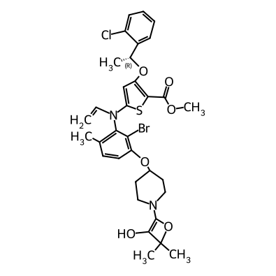 C=CN(c1cc(O[C@H](C)c2ccccc2Cl)c(C(=O)OC)s1)c1c(C)ccc(OC2CCN(C3=C(O)C(C)(C)O3)CC2)c1Br